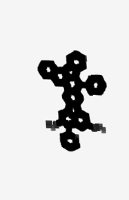 Cc1cc2c(-c3ccccn3)c(C)cc3c4cc5c(cc4c(c1)c23)c(-c1ccccc1)c1c2ccccc2c2c3ccccc3cc5c12